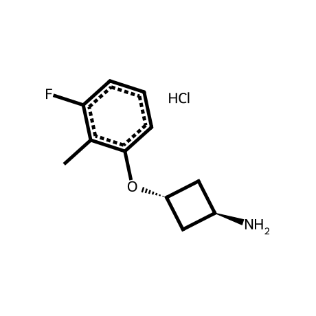 Cc1c(F)cccc1O[C@H]1C[C@H](N)C1.Cl